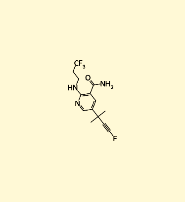 CC(C)(C#CF)c1cnc(NCCC(F)(F)F)c(C(N)=O)c1